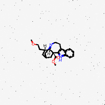 COCC[C@H]1CC2CN3CCc4c([nH]c5ccccc45)[C@](C(=O)OC)(C2)[C@H]13